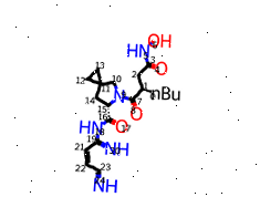 CCCC[C@H](CC(=O)NO)C(=O)N1CC2(CC2)C[C@H]1C(=O)NC(=N)/C=C\C=N